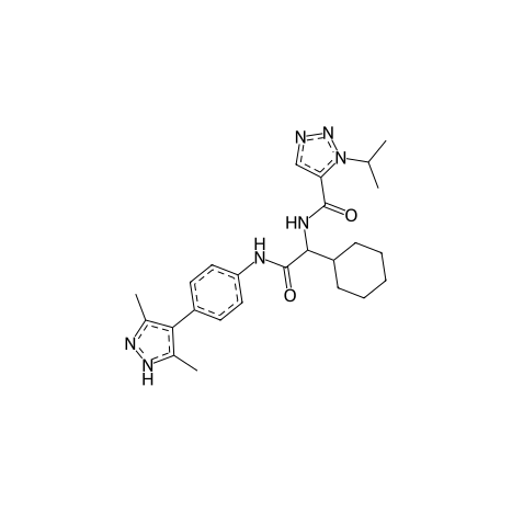 Cc1n[nH]c(C)c1-c1ccc(NC(=O)C(NC(=O)c2cnnn2C(C)C)C2CCCCC2)cc1